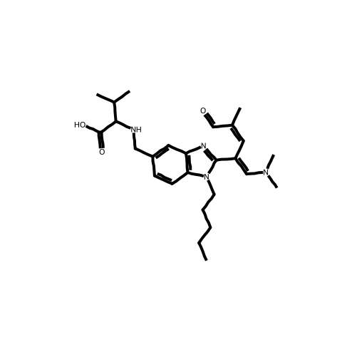 CCCCCn1c(C(/C=C(/C)C=O)=C/N(C)C)nc2cc(CNC(C(=O)O)C(C)C)ccc21